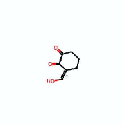 O=C1CCC/C(=C/O)C1=O